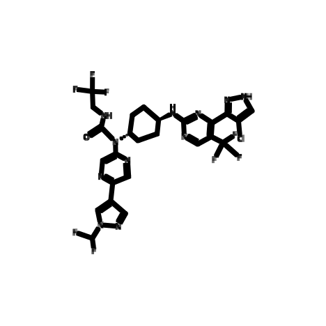 O=C(NCC(F)(F)F)N(c1cnc(-c2cnn(C(F)F)c2)cn1)[C@H]1CC[C@H](Nc2ncc(C(F)(F)F)c(-c3n[nH]cc3Cl)n2)CC1